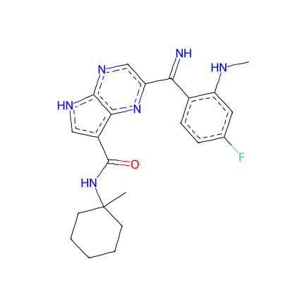 CNc1cc(F)ccc1C(=N)c1cnc2[nH]cc(C(=O)NC3(C)CCCCC3)c2n1